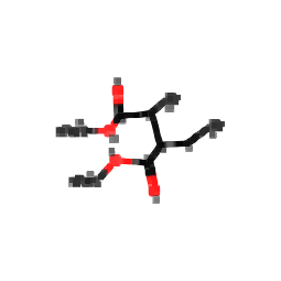 CCCCCOC(=O)C(CC(C)C)C(C(=O)OCCCCC)C(C)C